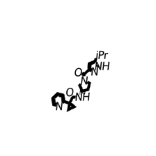 CC(C)c1cc(C(=O)N2CC[C@@H](NC(=O)C3(c4ccccn4)CC3)C2)n[nH]1